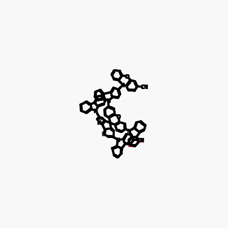 N#Cc1ccc2c(c1)Oc1ccccc1N2c1ccc2c(c1)c1ccccc1n2-c1ccc2c(c1)Oc1cc(-n3c4ccccc4c4ccccc43)ccc1C21c2cc(-n3c4ccccc4c4ccccc43)cnc2-c2ncc(-n3c4ccccc4c4cc(C#N)ccc43)cc21